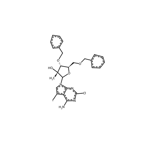 C[C@]1(O)C(n2cc(I)c3c(N)nc(Cl)nc32)O[C@H](COCc2ccccc2)[C@H]1OCc1ccccc1